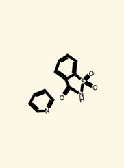 O=C1NS(=O)(=O)c2ccccc21.c1ccncc1